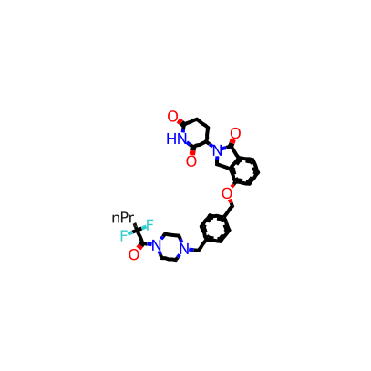 CCCC(F)(F)C(=O)N1CCN(Cc2ccc(COc3cccc4c3CN(C3CCC(=O)NC3=O)C4=O)cc2)CC1